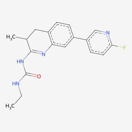 CCNC(=O)NC1=Nc2cc(-c3ccc(F)nc3)ccc2CC1C